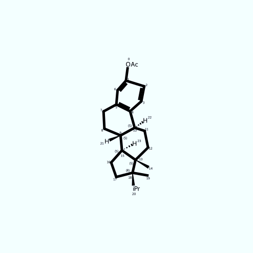 CC(=O)Oc1ccc2c(c1)CC[C@@H]1[C@@H]2CC[C@@]2(C)[C@H]1CC[C@]2(C)C(C)C